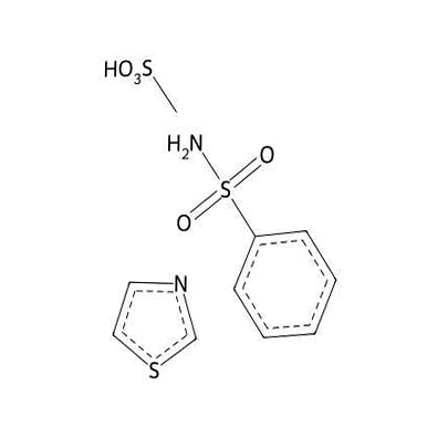 CS(=O)(=O)O.NS(=O)(=O)c1ccccc1.c1cscn1